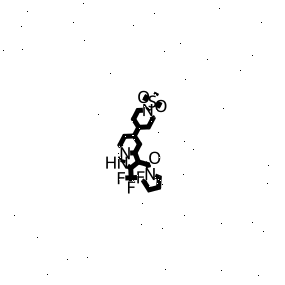 CS(=O)(=O)N1CCC(C2CCN3NC(C(F)(F)F)C(C(=O)N4CCCC4)C3C2)CC1